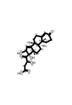 C[C@]12CCC(=O)C=C1CC[C@H]1C3=CC(O)[C@](O)(C(=O)C(O)CC(=O)O)[C@@]3(C)CC[C@@H]12